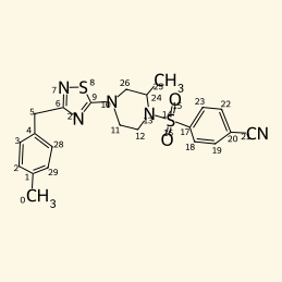 Cc1ccc(Cc2nsc(N3CCN(S(=O)(=O)c4ccc(C#N)cc4)C(C)C3)n2)cc1